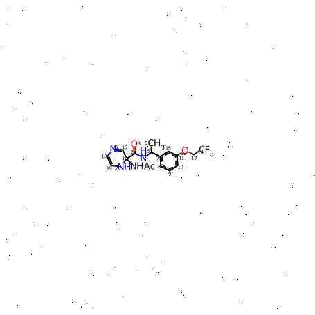 CC(=O)NC1(C(=O)NC(C)c2cccc(OCC(F)(F)F)c2)C=NC=CN1